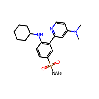 CNS(=O)(=O)c1ccc(NC2CCCCC2)c(-c2cc(N(C)C)ccn2)c1